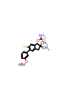 CCCCOc1cccc(-c2cc3c(cc2F)[C@H](OC(N)=O)C(C)(C)C3)c1